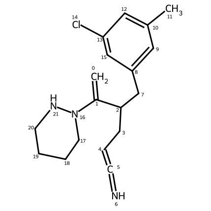 C=C(C(CC=C=N)Cc1cc(C)cc(Cl)c1)N1CCCCN1